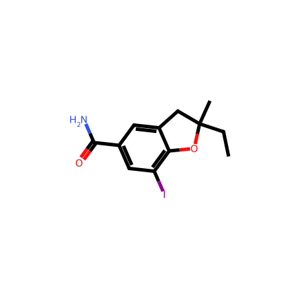 CCC1(C)Cc2cc(C(N)=O)cc(I)c2O1